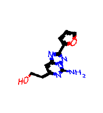 Nc1nc(CCO)cc2nc(-c3ccco3)nn12